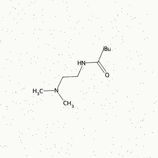 CCC(C)C(=O)NCCN(C)C